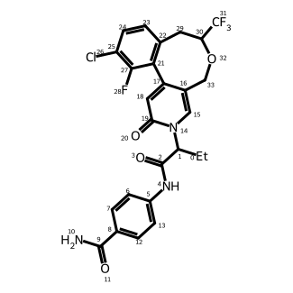 CCC(C(=O)Nc1ccc(C(N)=O)cc1)n1cc2c(cc1=O)-c1c(ccc(Cl)c1F)CC(C(F)(F)F)OC2